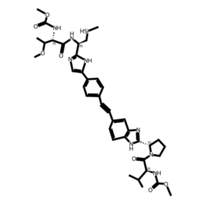 COC(=O)N[C@H](C(=O)N1CCC[C@H]1c1nc2cc(C#Cc3ccc(-c4cnc([C@H](C[SiH](C)C)NC(=O)[C@@H](NC(=O)OC)C(C)OC)[nH]4)cc3)ccc2[nH]1)C(C)C